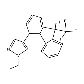 CCn1cc(-c2cccc3c2-c2ccccc2C3(O)C(F)(F)F)cn1